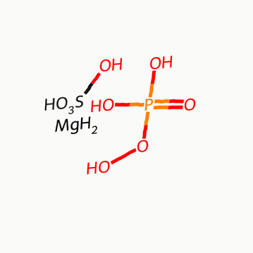 O=P(O)(O)OO.O=S(=O)(O)O.[MgH2]